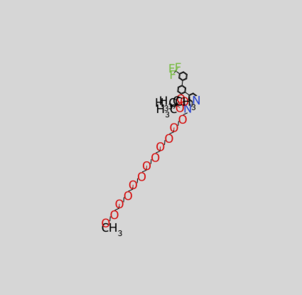 COCCOCCOCCOCCOCCOCCOCCOCCOCCOCCOCCOCCN(Cc1cc(-c2cc(-c3cccc(C(F)(F)F)c3)ccc2OC)ccn1)C(=O)OC(C)(C)C